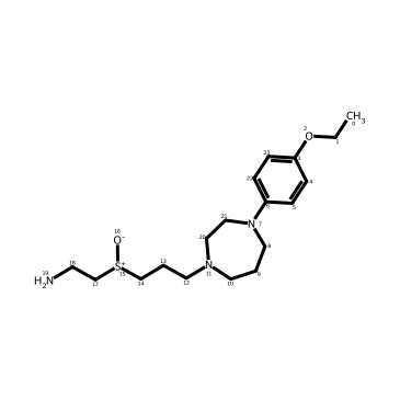 CCOc1ccc(N2CCCN(CCC[S+]([O-])CCN)CC2)cc1